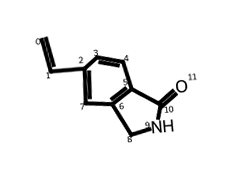 C=Cc1ccc2c(c1)CNC2=O